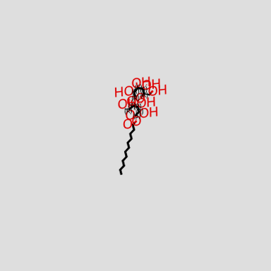 CCCCCCCCCCCC(=O)O[C@@H]1O[C@H](CO)[C@@H](O[C@H]2O[C@H](CO)[C@@H](O)[C@H](O)[C@H]2O)[C@H](O)[C@H]1O